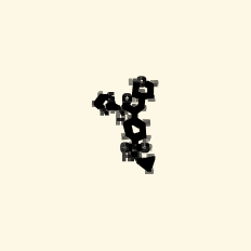 O=C(Nc1nccs1)C(CC1CCOCC1)c1ccc(S(=O)(=O)NC2CC2)cc1